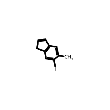 Cc1cc2c(cc1I)CC=C2